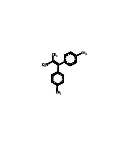 CC(=C(c1ccc(C)cc1)c1ccc(C)cc1)[N+](=O)[O-]